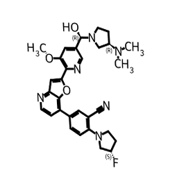 COc1cc([C@@H](O)N2CC[C@@H](N(C)C)C2)cnc1-c1cc2nccc(-c3ccc(N4CC[C@H](F)C4)c(C#N)c3)c2o1